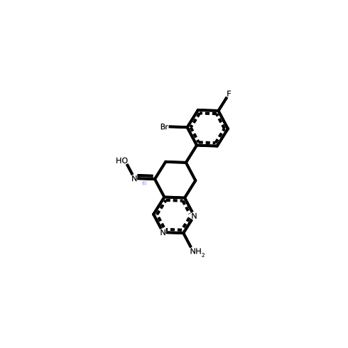 Nc1ncc2c(n1)CC(c1ccc(F)cc1Br)C/C2=N\O